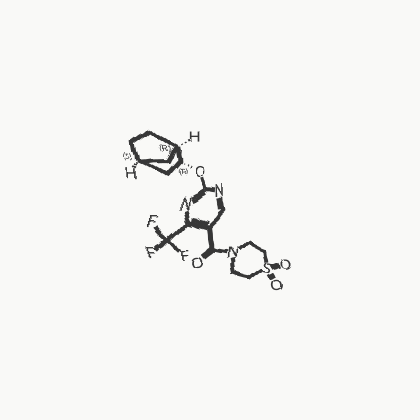 O=C(c1cnc(O[C@@H]2C[C@H]3CC[C@@H]2C3)nc1C(F)(F)F)N1CCS(=O)(=O)CC1